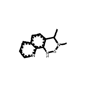 CC1c2ccc3cccnc3c2NSN1C